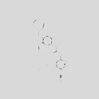 COC[C@@H](C)Oc1cc(NC(=O)N2CCCc3cc(CN4CC=COC=C4C)c(C=O)nc32)ncc1C#N